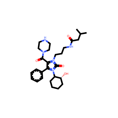 CC(C)CC(=O)NCCCn1c(C(=O)N2CCNCC2)c(-c2ccccc2)n(C2CCCC[C@H]2O)c1=O